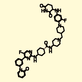 O=C1CCC(Nc2ccc(N3CCC(CN4CCC(NC(=O)[C@H]5CC[C@H](Nc6ncc(F)c(-c7cccc(-n8ccccc8=O)c7)n6)CC5)CC4)CC3)c(F)c2)C(=O)N1